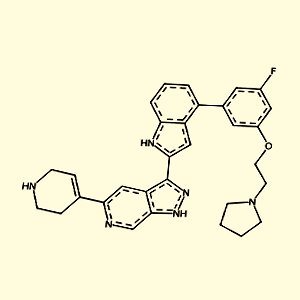 Fc1cc(OCCN2CCCC2)cc(-c2cccc3[nH]c(-c4n[nH]c5cnc(C6=CCNCC6)cc45)cc23)c1